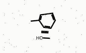 C=C.CO.Cc1ccccc1